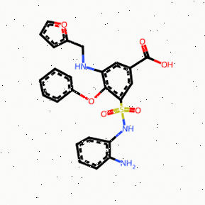 Nc1ccccc1NS(=O)(=O)c1cc(C(=O)O)cc(NCc2ccco2)c1Oc1ccccc1